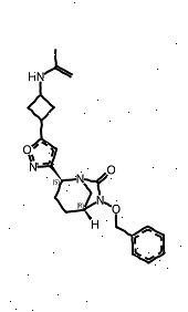 C=C(C)NC1CC(c2cc([C@@H]3CC[C@@H]4CN3C(=O)N4OCc3ccccc3)no2)C1